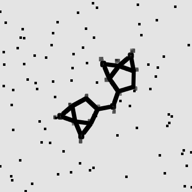 C1C(OC2CC3OC34OC24)C2OC23OC13